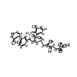 Cc1cnccc1-c1cccc(CCN(CCCC(=O)NCCS(=O)(=O)O)S(=O)(=O)c2cccc(Cl)c2C)c1